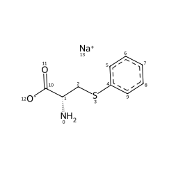 N[C@@H](CSc1ccccc1)C(=O)[O-].[Na+]